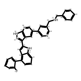 Fc1ccccc1-c1cccc2[nH]c(-c3n[nH]c4ncc(-c5cncc(CNCc6ccccc6)c5)cc34)cc12